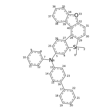 C[Si]1(C)c2cc(N(c3ccccc3)c3ccc(-c4ccccc4)cc3)ccc2-c2c1ccc1oc3ccccc3c21